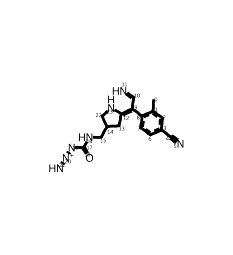 Cc1cc(C#N)ccc1/C(C=N)=C1\CC(CNC(=O)N=[N+]=N)CN1